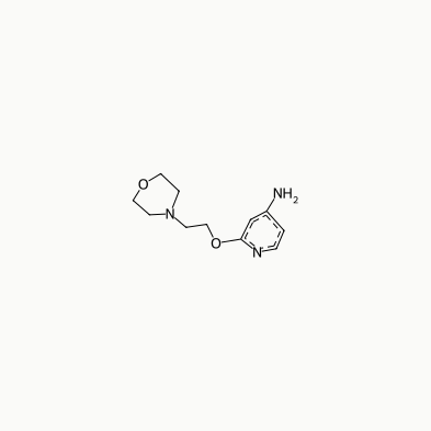 Nc1ccnc(OCCN2CCOCC2)c1